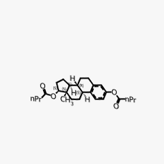 CCCC(=O)Oc1ccc2c(c1)CC[C@@H]1[C@@H]2CC[C@]2(C)[C@@H](OC(=O)CCC)CC[C@@H]12